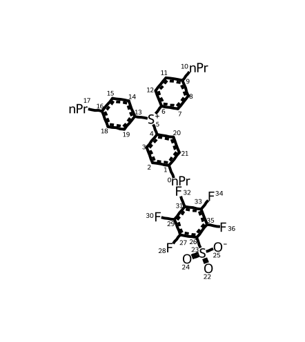 CCCc1ccc([S+](c2ccc(CCC)cc2)c2ccc(CCC)cc2)cc1.O=S(=O)([O-])c1c(F)c(F)c(F)c(F)c1F